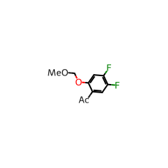 COCOc1cc(F)c(F)cc1C(C)=O